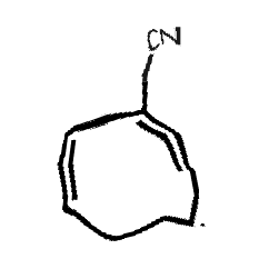 N#CC1=C[CH]CC=C1